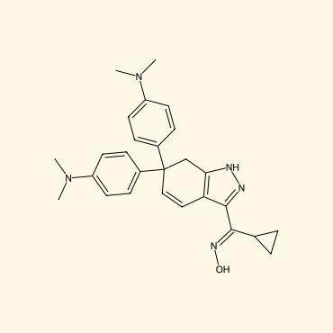 CN(C)c1ccc(C2(c3ccc(N(C)C)cc3)C=Cc3c(C(=NO)C4CC4)n[nH]c3C2)cc1